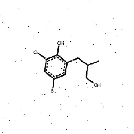 CC(CO)Cc1cc(Br)cc(Cl)c1O